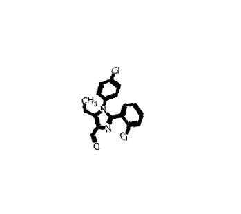 CCc1c(C=O)nc(-c2ccccc2Cl)n1-c1ccc(Cl)cc1